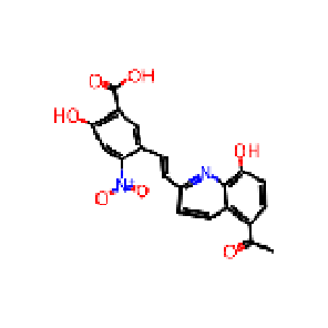 CC(=O)c1ccc(O)c2nc(C=Cc3cc(C(=O)O)c(O)cc3[N+](=O)[O-])ccc12